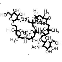 CCOCC(COC(C)(C)CC(C)(C)CNCC(C)(C)CC(C)(C)COC1OC(CO)C(O)C(O)C1NC(C)=O)(NC)OC(C)(C)CC(C)(C)C(=O)NCC(C)(C)CC(C)(C)COC1OC(CO)C(O)C(O)C1NC(C)=O